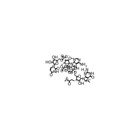 CO[C@@H]1[C@H](P(=O)([O-])OC[C@H]2O[C@@H](n3ccc(=O)[nH]c3=O)[C@H](O)[C@@H]2O)[C@@H](COP(=O)(O)OP(=O)(O)OP(=O)(O)OC[C@H]2OC(n3c[n+](C)c4c(=O)[nH]c(N)nc43)[C@H](O)[C@@H]2CCC(=O)N(C)C)O[C@H]1n1cnc2c(N)ncnc21